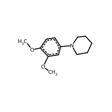 COc1ccc(N2CC[CH]CC2)cc1OC